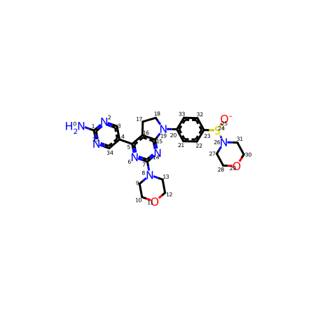 Nc1ncc(-c2nc(N3CCOCC3)nc3c2CCN3c2ccc([S+]([O-])N3CCOCC3)cc2)cn1